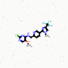 COc1cnc(Cl)nc1NCc1ccc(-c2nc(C(F)(F)F)cn2C)cn1